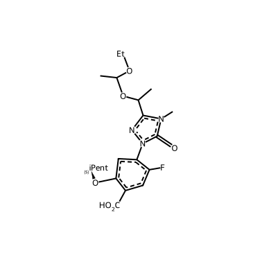 CCC[C@H](C)Oc1cc(-n2nc(C(C)OC(C)OCC)n(C)c2=O)c(F)cc1C(=O)O